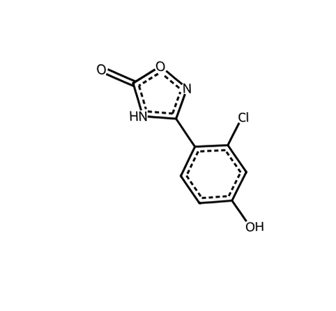 O=c1[nH]c(-c2ccc(O)cc2Cl)no1